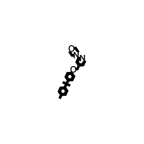 Cc1ccc(C(C)(C)c2ccc(OCc3ccnc(N4CCOCC4)c3)cc2)cc1